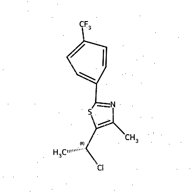 Cc1nc(-c2ccc(C(F)(F)F)cc2)sc1[C@@H](C)Cl